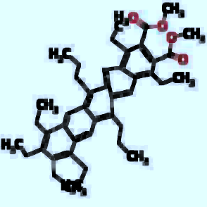 CCCc1c2cc3c(CC)c(CC)c(CC)c(CC)c3cc2c(CCC)c2cc3c(CC)c(C(=O)OC)c(C(=O)OC)c(CC)c3cc12